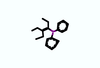 CCC(CC)=C(CC)P(c1ccccc1)c1ccccc1